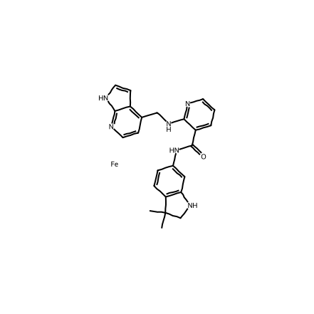 CC1(C)CNc2cc(NC(=O)c3cccnc3NCc3ccnc4[nH]ccc34)ccc21.[Fe]